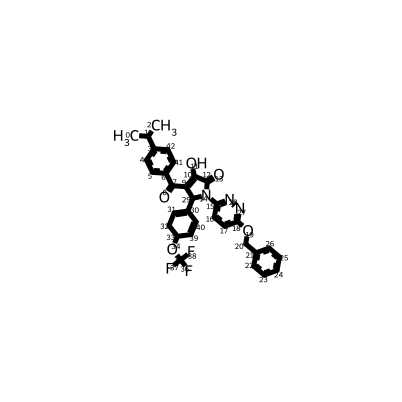 CC(C)c1ccc(C(=O)C2=C(O)C(=O)N(c3ccc(OCc4ccccc4)nn3)C2C2=CCC(OC(F)(F)F)C=C2)cc1